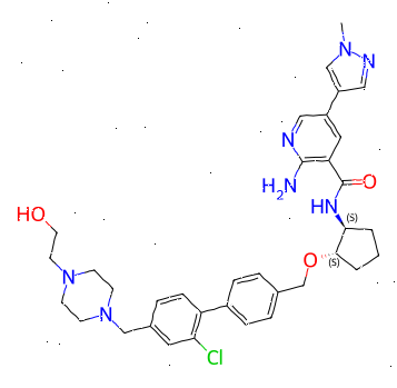 Cn1cc(-c2cnc(N)c(C(=O)N[C@H]3CCC[C@@H]3OCc3ccc(-c4ccc(CN5CCN(CCO)CC5)cc4Cl)cc3)c2)cn1